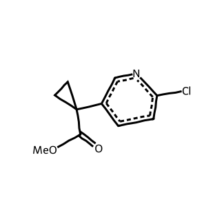 COC(=O)C1(c2ccc(Cl)nc2)CC1